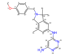 COc1ccc(CN2Cc3c(C)cc(Nc4cc(N)ncn4)cc3C2(C)C)cc1